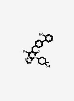 CCCc1c(Cc2ccc(-c3ccccc3C#N)cc2)c(=O)n(C2CCC(C)(O)CC2)c2ncnn12